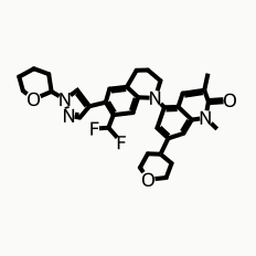 Cc1cc2c(N3CCCc4cc(-c5cnn(C6CCCCO6)c5)c(C(F)F)cc43)cc(C3CCOCC3)cc2n(C)c1=O